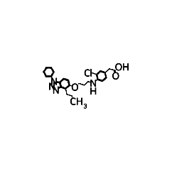 CCCc1c(OCCCNc2ccc(CC(=O)O)cc2Cl)ccc2c1nnn2-c1ccccc1